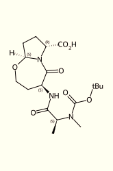 C[C@@H](C(=O)N[C@H]1CCO[C@H]2CC[C@H](C(=O)O)N2C1=O)N(C)C(=O)OC(C)(C)C